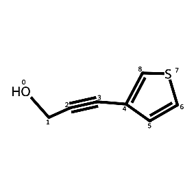 OCC#Cc1ccsc1